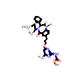 CCOC(=O)CC(C)N1C(=O)c2cc(CCCOc3cc(C)nc(NC(=O)OC(C)(C)C)n3)ccc2N(C(C)C)C(=O)C1c1ccccc1